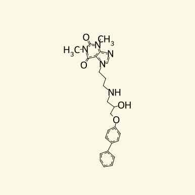 Cn1c(=O)c2c(ncn2CCCNCC(O)COc2ccc(-c3ccccc3)cc2)n(C)c1=O